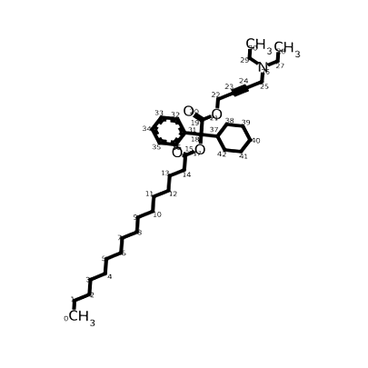 CCCCCCCCCCCCCCCC(=O)OC(C(=O)OCC#CCN(CC)CC)(c1ccccc1)C1CCCCC1